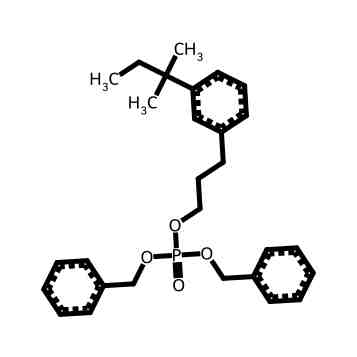 CCC(C)(C)c1cccc(CCCOP(=O)(OCc2ccccc2)OCc2ccccc2)c1